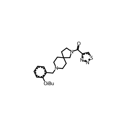 CC(C)COc1ccccc1CN1CCC2(CC1)CCN(C(=O)c1csnn1)C2